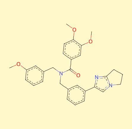 COc1cccc(CN(Cc2cccc(-c3cn4c(n3)CCC4)c2)C(=O)c2ccc(OC)c(OC)c2)c1